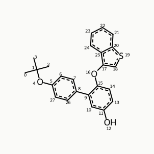 CC(C)(C)Oc1ccc(-c2cc(O)ccc2Oc2csc3ccccc23)cc1